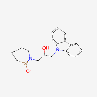 [O-][S+]1CCCCN1CC(O)Cn1c2ccccc2c2ccccc21